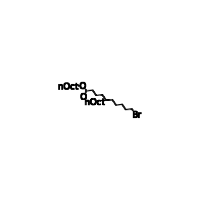 CCCCCCCCOC(CCCCCCCCCBr)OCCCCCCCC